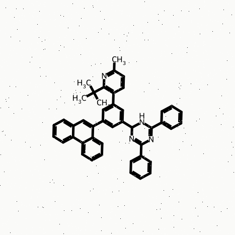 Cc1ccc(-c2cc(-c3cc4ccccc4c4ccccc34)cc(C3N=C(c4ccccc4)N=C(c4ccccc4)N3)c2)c(C(C)(C)C)n1